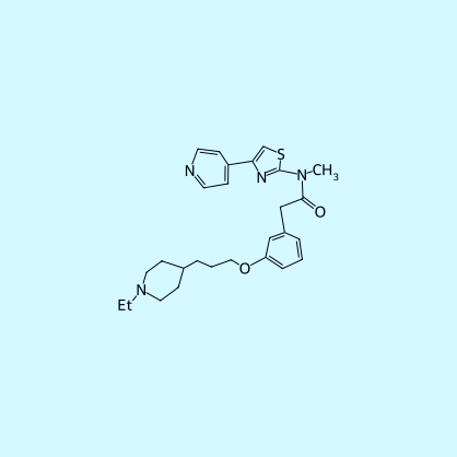 CCN1CCC(CCCOc2cccc(CC(=O)N(C)c3nc(-c4ccncc4)cs3)c2)CC1